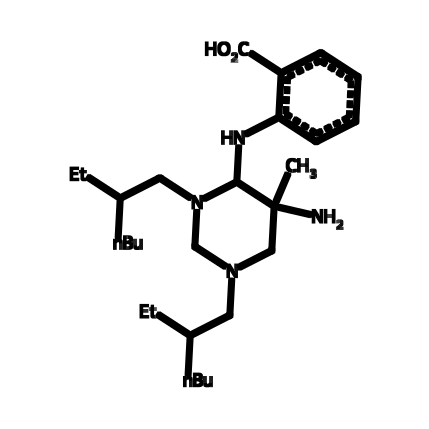 CCCCC(CC)CN1CN(CC(CC)CCCC)C(Nc2ccccc2C(=O)O)C(C)(N)C1